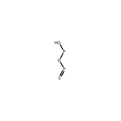 O[P]OP=S